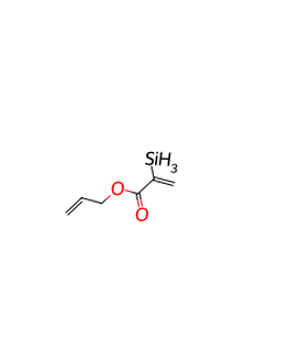 C=CCOC(=O)C(=C)[SiH3]